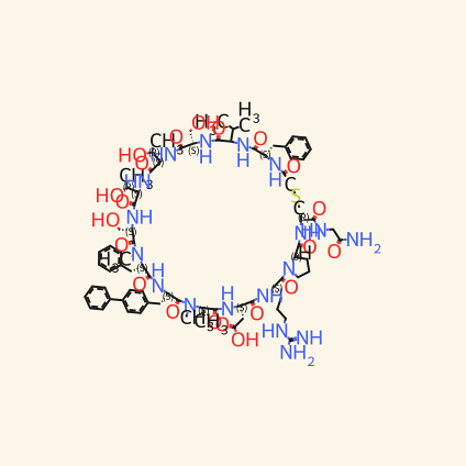 CC(C)C1NC(=O)[C@H](Cc2ccccc2)NC(=O)CSC[C@@H](C(=O)NCC(N)=O)NC(=O)[C@@H]2CCCN2C(=O)[C@H](CCCNC(=N)N)NC(=O)[C@H](CC(=O)O)NC(=O)[C@H](C)N(C)C(=O)[C@H](Cc2ccc(-c3ccccc3)cc2)NC(=O)[C@H](Cc2ccccc2)N(C)C(=O)[C@H](CO)NC(=O)[C@H]([C@@H](C)O)NC(=O)[C@H]([C@@H](C)O)NC(=O)[C@H](CO)NC1=O